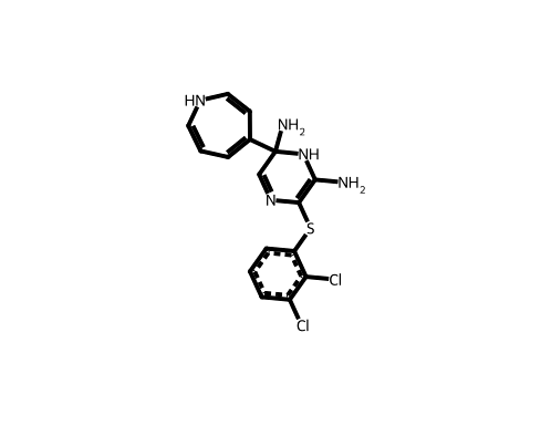 NC1=C(Sc2cccc(Cl)c2Cl)N=CC(N)(C2=CC=CNC=C2)N1